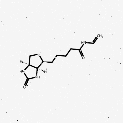 C=CNC(=O)CCCC[C@@H]1SC[C@@H]2NC(=O)N[C@@H]21